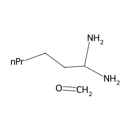 C=O.CCCCCC(N)N